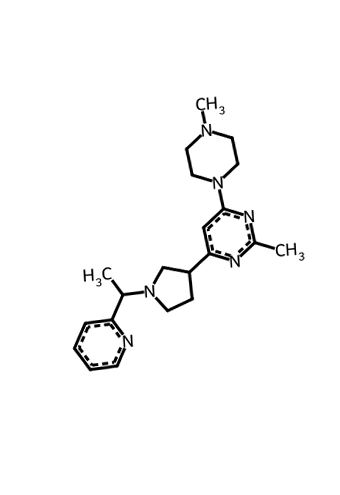 Cc1nc(C2CCN(C(C)c3ccccn3)C2)cc(N2CCN(C)CC2)n1